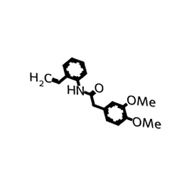 C=Cc1ccccc1NC(=O)Cc1ccc(OC)c(OC)c1